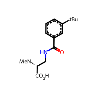 CN[C@H](CNC(=O)c1cccc(C(C)(C)C)c1)C(=O)O